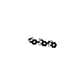 c1ccc2c(c1)OCC(c1ccc3c(c1)CSC(c1ccc4c(c1)SCOC4)O3)O2